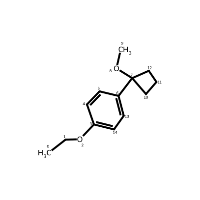 CCOc1ccc(C2(OC)CCC2)cc1